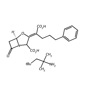 CC(C)(C)CC(C)(C)N.O=C(O)C(CCCc1ccccc1)=C1O[C@@H]2CC(=O)N2C1C(=O)O